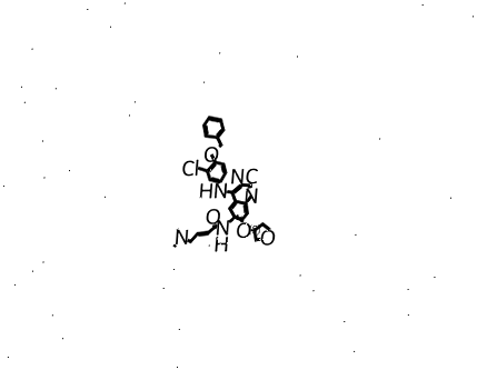 CN(C)CC=CC(=O)Nc1cc2c(Nc3ccc(OCc4ccccc4)c(Cl)c3)c(C#N)cnc2cc1O[C@H]1CCOC1